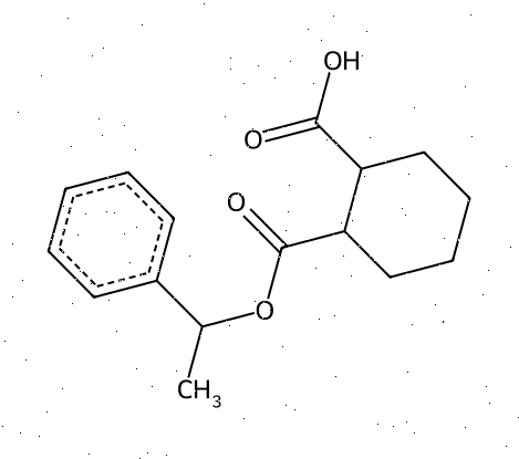 CC(OC(=O)C1CCCCC1C(=O)O)c1ccccc1